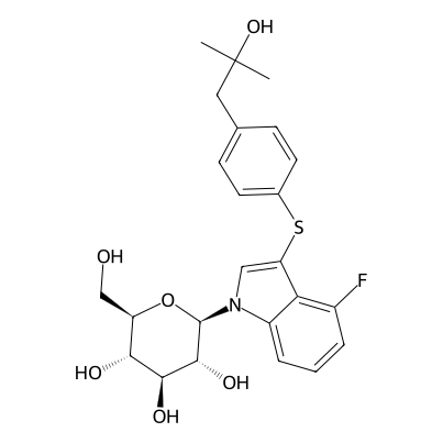 CC(C)(O)Cc1ccc(Sc2cn([C@@H]3O[C@H](CO)[C@@H](O)[C@H](O)[C@H]3O)c3cccc(F)c23)cc1